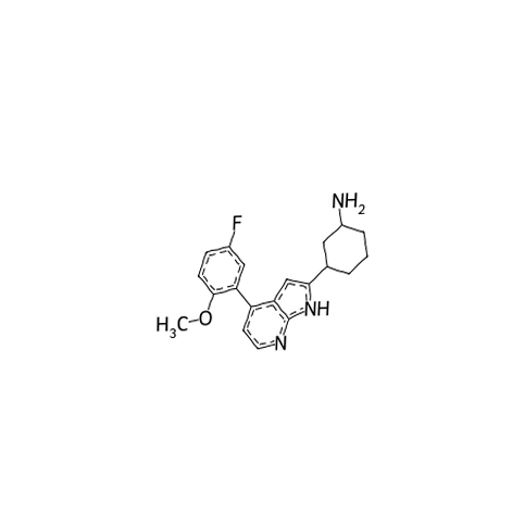 COc1ccc(F)cc1-c1ccnc2[nH]c(C3CCCC(N)C3)cc12